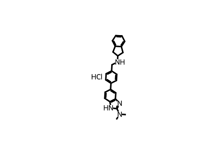 CN(C)c1nc2cc(-c3ccc(CNC4Cc5ccccc5C4)cc3)ccc2[nH]1.Cl